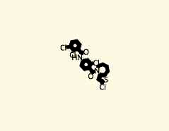 O=C(Nc1ccc(C(=O)N2CCCCc3sc(Cl)cc32)c(Cl)c1)c1cccc(Cl)c1Cl